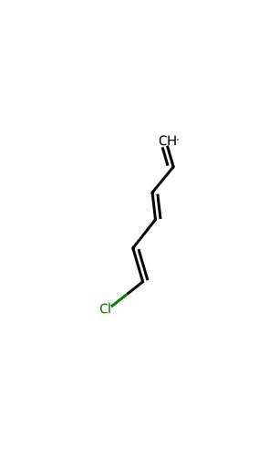 [CH]=CC=CC=CCl